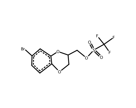 O=S(=O)(OCC1COc2ccc(Br)cc2O1)C(F)(F)F